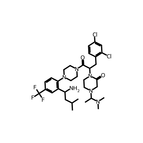 CC(C)CC(N)c1cc(C(F)(F)F)ccc1N1CCN(C(=O)C(Cc2ccc(Cl)cc2Cl)N2CCN(C(C)N(C)C)CC2=O)CC1